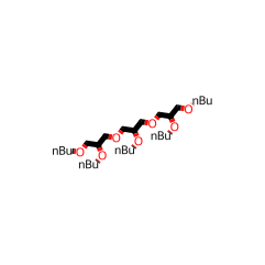 CCCCOCC(COCC(COCC(COCCCC)OCCCC)OCCCC)OCCCC